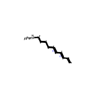 C=C/C=C/C=C/CCCCCCC[CH]C